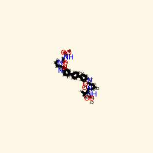 COC(=O)NCC(=O)N1CCC[C@H]1c1nc2ccc(-c3ccc(-c4ccc5nc(C6C[C@H](C)CN6C(=O)[C@@H](NC(=O)OC)C(C)C)oc5c4)cc3)cc2o1